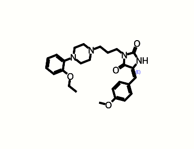 CCOc1ccccc1N1CCN(CCCN2C(=O)N/C(=C/c3ccc(OC)cc3)C2=O)CC1